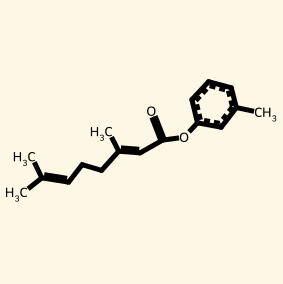 CC(C)=CCC/C(C)=C/C(=O)Oc1cccc(C)c1